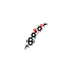 C=CCOc1ccc(OC(=O)c2ccc(C3CC[C@H]4C[C@@H](CCC)CC[C@@H]4C3)c(F)c2)cc1